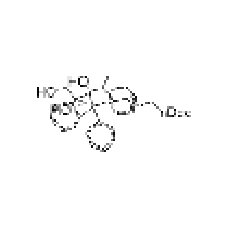 CCCCCCCCCCCCCCC(C)C(O)([C@@H](O)CO)C(c1ccccc1)(c1ccccc1)c1ccccc1